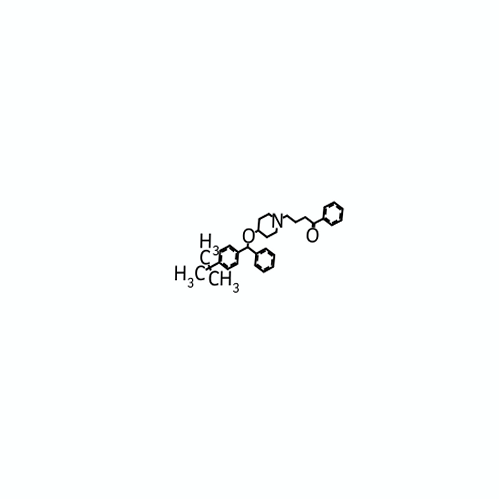 CC(C)(C)c1ccc(C(OC2CCN(CCCC(=O)c3ccccc3)CC2)c2ccccc2)cc1